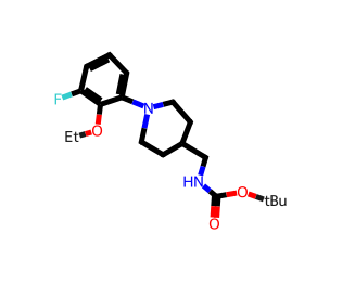 CCOc1c(F)cccc1N1CCC(CNC(=O)OC(C)(C)C)CC1